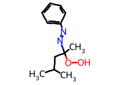 CC(C)CC(C)(N=Nc1ccccc1)OO